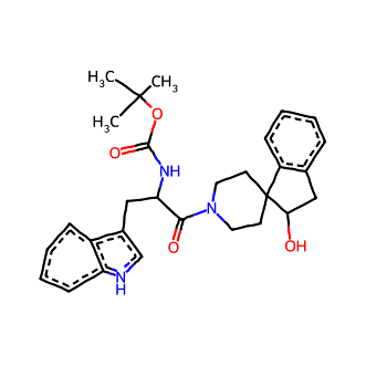 CC(C)(C)OC(=O)NC(Cc1c[nH]c2ccccc12)C(=O)N1CCC2(CC1)c1ccccc1CC2O